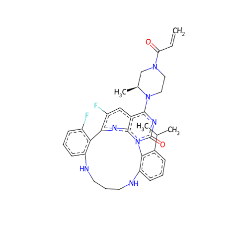 C=CC(=O)N1CCN(c2nc(=O)n3c4nc(c(F)cc24)-c2c(F)cccc2NCCCNc2cccc(C(C)C)c2-3)[C@@H](C)C1